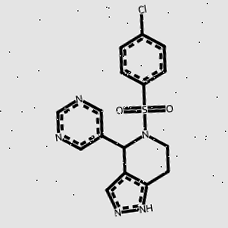 O=S(=O)(c1ccc(Cl)cc1)N1CCc2[nH]ncc2C1c1cncnc1